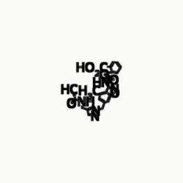 C#CC(=O)NCc1cnn(Cc2cc(C)c3c(NS(=O)(=O)c4ccccc4C(=O)O)noc3c2)c1